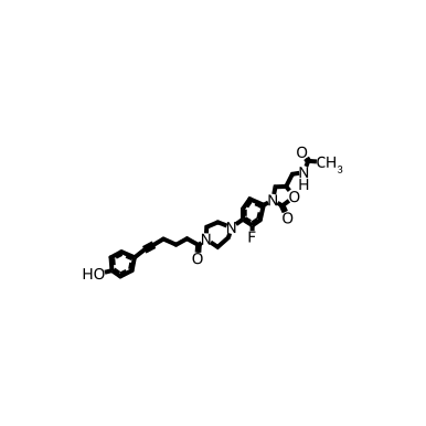 CC(=O)NCC1CN(c2ccc(N3CCN(C(=O)CCCC#Cc4ccc(O)cc4)CC3)c(F)c2)C(=O)O1